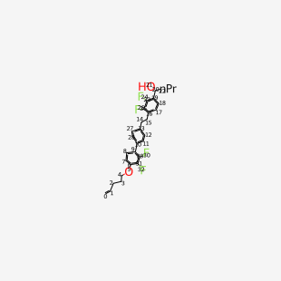 C=CCCCOc1ccc(-c2ccc(CCc3ccc(C(O)CCC)c(F)c3F)cc2)c(F)c1F